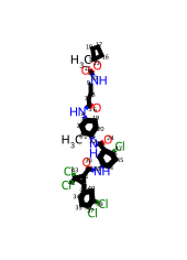 Cc1cc(NC(=O)CCCNC(=O)OC2(C)CCC2)ccc1NC(=O)c1cc(NC(=O)C2C(c3ccc(Cl)c(Cl)c3)C2(Cl)Cl)ccc1Cl